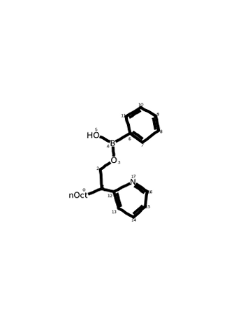 CCCCCCCCC(COB(O)c1ccccc1)c1ccccn1